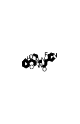 Cn1c(N2CCO[C@@H]3c4ccccc4OC[C@H]32)nc(-c2ccncc2F)cc1=O